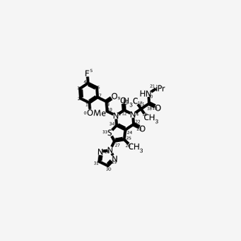 COc1ccc(F)cc1C(=O)Cn1c(=O)n(C(C)(C)C(=O)NC(C)C)c(=O)c2c(C)c(-n3nccn3)sc21